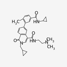 Cc1ccc(C(=O)NC2CC2)cc1-c1ccc2c(=O)n(CC3CC3)cc(C(=O)NCCN(C)C)c2c1